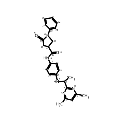 Cc1cc(C)nc(C(C)Nc2ccc(NC(=O)C3CC(=O)N(c4ccccc4)C3)cc2)n1